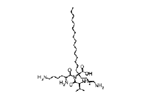 CCCCCCCCCCCCCCCCC(CCCCN)(C(=O)O)N(C(=O)C(N)CCCCN)C(=O)C(N)C(C)C